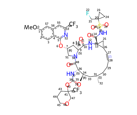 COc1ccc2c(O[C@@H]3C[C@H]4C(=O)N[C@]5(C(=O)NS(=O)(=O)C6(CF)CC6)CC5/C=C\CC[C@H](C)C[C@@H](C)[C@H](NC(=O)OC5(C(F)(F)F)CCCOC5)C(=O)N4C3)nc(C(F)(F)F)cc2c1